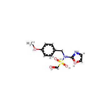 COc1ccc(CN(c2ncco2)S(=O)(=O)C=O)cc1